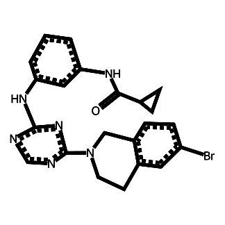 O=C(Nc1cccc(Nc2ncnc(N3CCc4cc(Br)ccc4C3)n2)c1)C1CC1